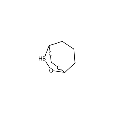 B1OC2CCCC1CCC2